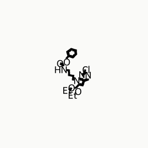 CCOC(OCC)c1cc2cnc(Cl)nc2n1CCCCNC(=O)OCc1ccccc1